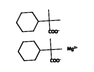 CC(C)(C(=O)[O-])C1CCCCC1.CC(C)(C(=O)[O-])C1CCCCC1.[Mg+2]